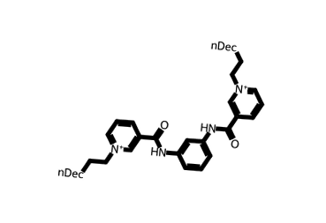 CCCCCCCCCCCC[n+]1cccc(C(=O)Nc2cccc(NC(=O)c3ccc[n+](CCCCCCCCCCCC)c3)c2)c1